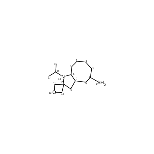 BC1CCCCC2C(C1)CC1(COC1)N2C(C)C